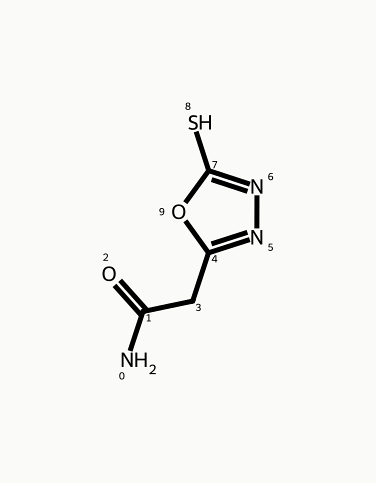 NC(=O)Cc1nnc(S)o1